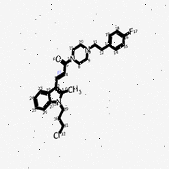 Cc1c(/C=C/C(=O)N2CCN(CCc3ccc(F)cc3)CC2)c2ccccc2n1CCCCl